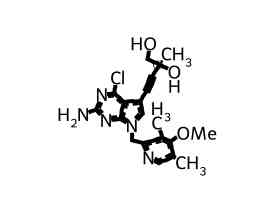 COc1c(C)cnc(Cn2cc(C#C[C@](C)(O)CO)c3c(Cl)nc(N)nc32)c1C